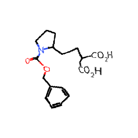 O=C(O)C(CCC1CCCN1C(=O)OCc1ccccc1)C(=O)O